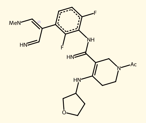 CN/C=C(\C=N)c1ccc(F)c(NC(=N)C2=C(NC3CCOC3)CCN(C(C)=O)C2)c1F